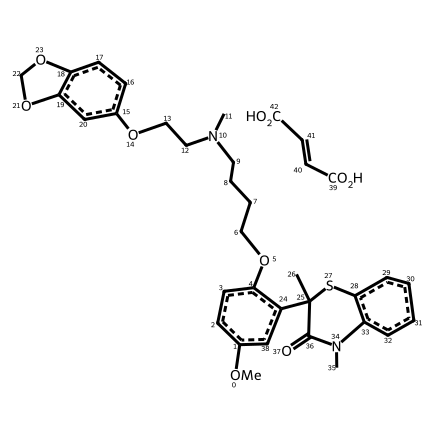 COc1ccc(OCCCCN(C)CCOc2ccc3c(c2)OCO3)c(C2(C)Sc3ccccc3N(C)C2=O)c1.O=C(O)C=CC(=O)O